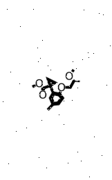 COC(=O)C1(c2cc(C)ccc2OC[C@H](C)OC)CC1